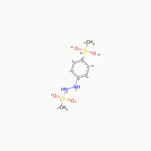 CS(=O)(=O)NNc1ccc(S(C)(=O)=O)cc1